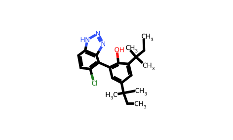 CCC(C)(C)c1cc(-c2c(Cl)ccc3[nH]nnc23)c(O)c(C(C)(C)CC)c1